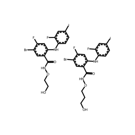 O=C(NOCCCO)c1cc(Br)c(F)cc1Nc1ccc(I)cc1F.O=C(NOCCO)c1cc(Br)c(F)cc1Nc1ccc(I)cc1F